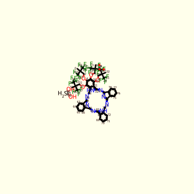 CC(COc1c(OCC(C)(C(F)(F)F)C(F)(F)F)c(OCC(C)(C(F)(F)F)C(F)(F)F)c2c3nc4nc(nc5[nH]c(nc6nc(nc([nH]3)c2c1OCC(C)(C(F)(F)F)C(F)(F)F)-c1ccccc1-6)c1ccccc51)-c1ccccc1-4)(C(F)(F)F)C(F)(F)F.O[SiH2]O